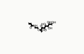 C=CC(=O)NCCOC(C)C(=O)[C@H](O)[C@@H](O)[C@H](O)[C@H](O)CO